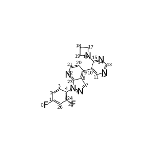 Fc1ccc(-n2ncc3c(-c4cncnc4N4CCC4)ccnc32)c(F)c1